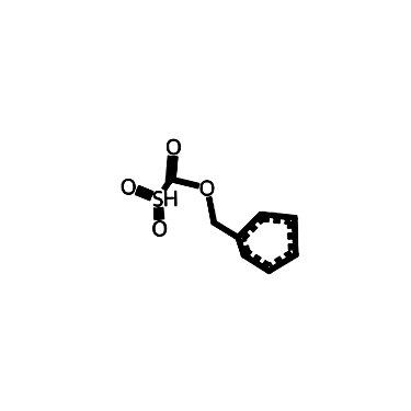 O=C(OCc1ccccc1)[SH](=O)=O